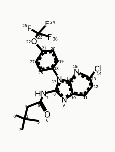 CC(C)(C)CC(=O)Nc1nc2ccc(Cl)nc2n1-c1ccc(OC(F)(F)F)cc1